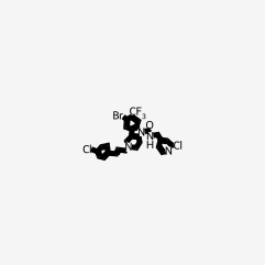 O=C(NCc1ccnc(Cl)c1)n1c2c(c3cc(Br)c(C(F)(F)F)cc31)CN(CC=Cc1ccc(Cl)cc1)CC2